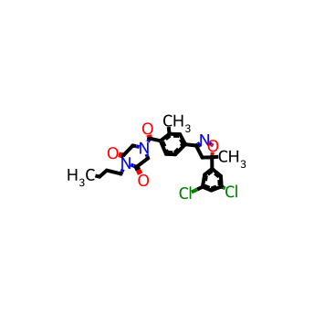 CCCCN1C(=O)CN(C(=O)c2ccc(C3=NOC(C)(c4cc(Cl)cc(Cl)c4)C3)cc2C)CC1=O